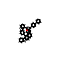 c1ccc(-c2ccc(-c3nc(-c4ccccc4)nc(-c4cccc5oc6ccc(-c7c(-c8ccccc8)ccc8sc9ccccc9c78)cc6c45)n3)cc2)cc1